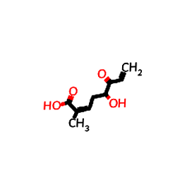 C=CC(=O)C(O)CC=C(C)C(=O)O